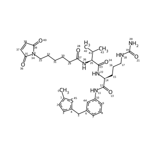 Cc1ccc(Cc2cccc(NC(=O)[C@H](CCCNC(N)=O)NC(=O)[C@@H](NC(=O)CCCCCN3C(=O)C=CC3=O)C(C)C)c2)s1